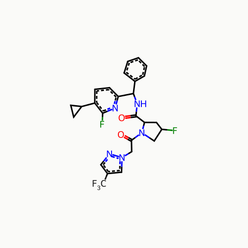 O=C(NC(c1ccccc1)c1ccc(C2CC2)c(F)n1)C1CC(F)CN1C(=O)Cn1cc(C(F)(F)F)cn1